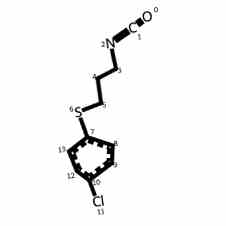 O=C=NCCCSc1ccc(Cl)cc1